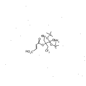 CC(C)(C)CC(CC(F)(F)F)(OC(=O)/C=C/C(=O)O)[Si](O[SiH3])(O[Si](C)(C)C)O[Si](C)(C)C